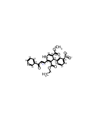 CCOC(=O)C1=C(/C=C/C(=O)c2cccnc2)NC=C(C(=O)OC)C1c1cccc([N+](=O)[O-])c1